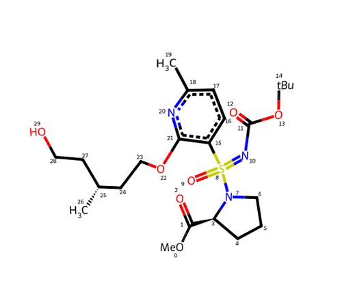 COC(=O)[C@@H]1CCCN1S(=O)(=NC(=O)OC(C)(C)C)c1ccc(C)nc1OCC[C@H](C)CCO